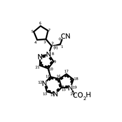 N#CC[C@H](C1CCCC1)n1cc(-c2ncnc3c2ccn3C(=O)O)cn1